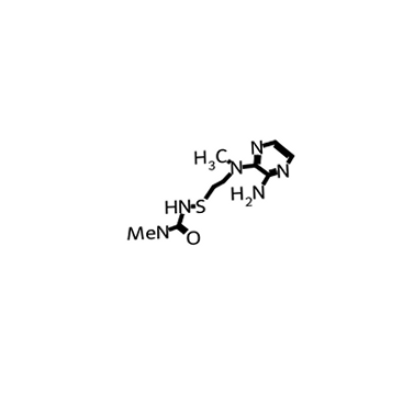 CNC(=O)NSCCN(C)c1nccnc1N